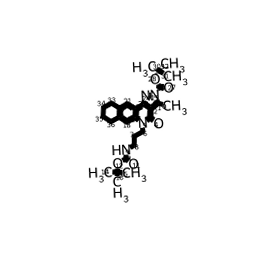 Cc1c2c(=O)n(CCCNC(=O)OC(C)(C)C)c3cc4c(cc3c2nn1C(=O)OC(C)(C)C)CCCC4